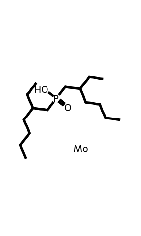 CCCCC(CC)CP(=O)(O)CC(CC)CCCC.[Mo]